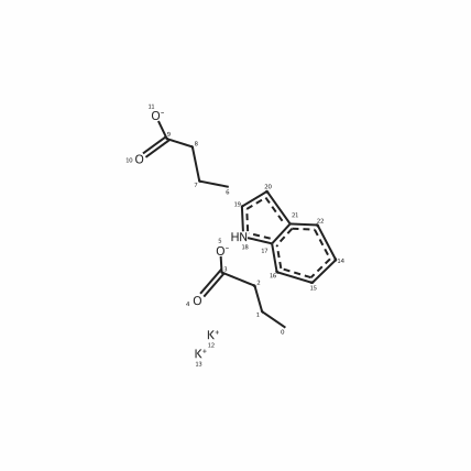 CCCC(=O)[O-].CCCC(=O)[O-].[K+].[K+].c1ccc2[nH]ccc2c1